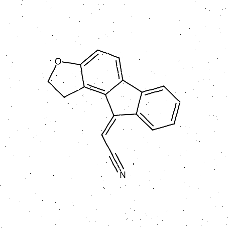 N#CC=C1c2ccccc2-c2ccc3c(c21)CCO3